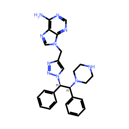 Nc1ncnc2c1ncn2Cc1cn([C@H](c2ccccc2)[C@H](c2ccccc2)N2CCNCC2)nn1